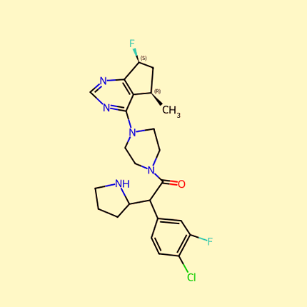 C[C@@H]1C[C@H](F)c2ncnc(N3CCN(C(=O)C(c4ccc(Cl)c(F)c4)C4CCCN4)CC3)c21